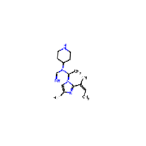 C/C=C(/C#N)c1nc(C)cn1C(C)N(C=N)C1CCNCC1